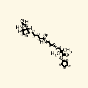 CC(C)(CSSCCNC(=O)CCCC[C@@H]1SC[C@@H]2NC(=O)N[C@@H]21)C(=O)OC1CCCC1